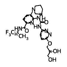 C[C@@H](NC(=O)c1ccc2c(n1)N(C(=O)Nc1ccc(OC[C@H](O)CO)nn1)[C@H]1CCCN2C1)C(F)(F)F